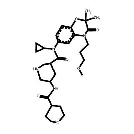 CC1(C)Oc2ccc(N(C(=O)C3CNCC(NC(=O)C4CCOCC4)C3)C3CC3)cc2N(CCCOI)C1=O